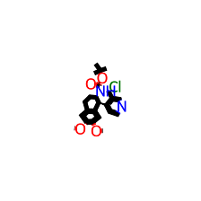 COc1cc2c(cc1OC)[C@H](c1ccncc1CCl)[C@@H](NC(=O)OC(C)(C)C)CC2